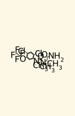 CC(C(N)=O)N(C)C(=O)N(C)c1cc(OC(F)(F)C(F)F)c(Cl)cc1Cl